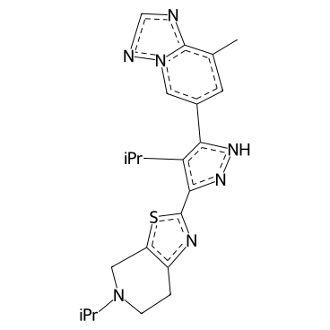 Cc1cc(-c2[nH]nc(-c3nc4c(s3)CN(C(C)C)CC4)c2C(C)C)cn2ncnc12